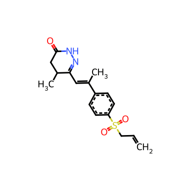 C=CCS(=O)(=O)c1ccc(C(C)=CC2=NNC(=O)CC2C)cc1